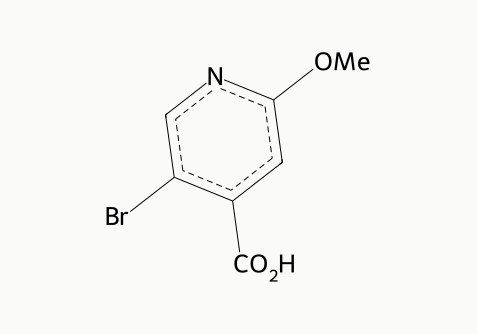 COc1cc(C(=O)O)c(Br)cn1